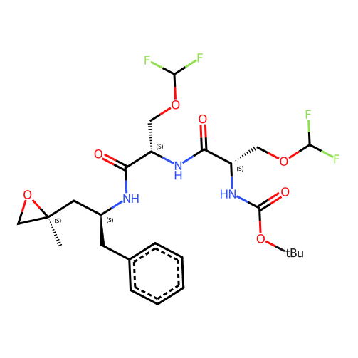 CC(C)(C)OC(=O)N[C@@H](COC(F)F)C(=O)N[C@@H](COC(F)F)C(=O)N[C@@H](Cc1ccccc1)C[C@@]1(C)CO1